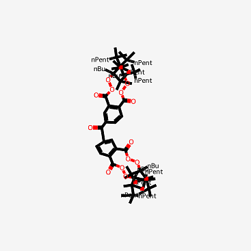 CCCCCC(C)(C)C(C)(C)C(CCCC)(OOC(=O)c1ccc(C(=O)c2ccc(C(=O)OOC(CCCC)(C(C)(C)CCCCC)C(C)(C)C(C)(C)CCCCC)c(C(=O)OOC(CCCC)(C(C)(C)CCCCC)C(C)(C)C(C)(C)CCCCC)c2)cc1C(=O)OOC(CCCC)(C(C)(C)CCCCC)C(C)(C)C(C)(C)CCCCC)C(C)(C)CCCCC